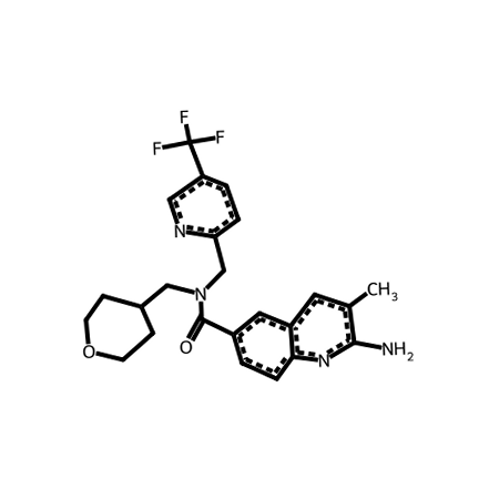 Cc1cc2cc(C(=O)N(Cc3ccc(C(F)(F)F)cn3)CC3CCOCC3)ccc2nc1N